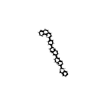 c1ccc2nc(-c3ccc4cc(-c5ccc6nc(-c7ccc(-c8ccc9ccc%10cccnc%10c9n8)cc7)ccc6c5)ccc4n3)ncc2c1